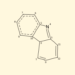 [C]1=CC2C(=Nc3ccccc32)C=C1